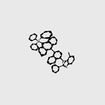 Cc1cccc2nc(-c3ccccc3)n(-c3ccc(-c4c5ccccc5c([Si](c5ccccc5)(c5ccccc5)c5ccccc5)c5ccccc45)c4ccccc34)c12